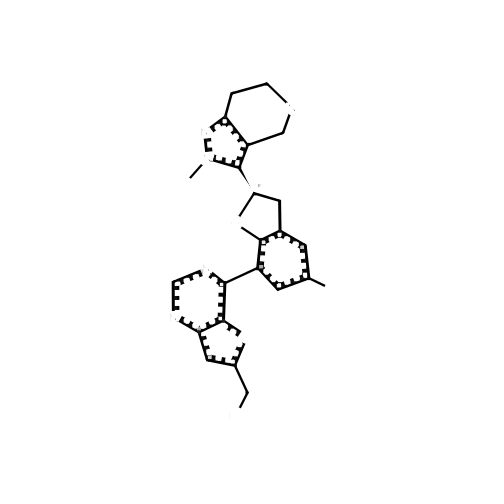 Cn1nc2c(c1[C@H]1Cc3cc(Cl)cc(-c4ncnc5cc(CO)oc45)c3O1)CNCC2